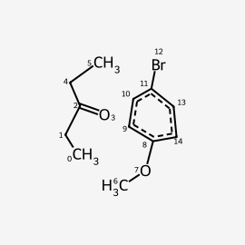 CCC(=O)CC.COc1ccc(Br)cc1